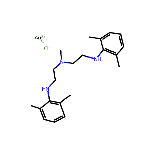 Cc1cccc(C)c1NCCN(C)CCNc1c(C)cccc1C.[Au+2].[Cl-].[Cl-]